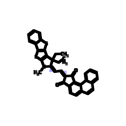 CCC1(CC)/C(=C\C=C2/C(=O)c3ccc4ccc5ccccc5c4c3C2=O)N(C)c2sc3c(sc4ccccc43)c21